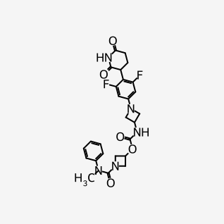 CN(C(=O)N1CC(OC(=O)NC2CN(c3cc(F)c(C4CCC(=O)NC4=O)c(F)c3)C2)C1)c1ccccc1